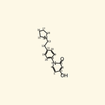 O=c1cc(O)ccn1-c1ccc(CCN2CCCC2)cc1